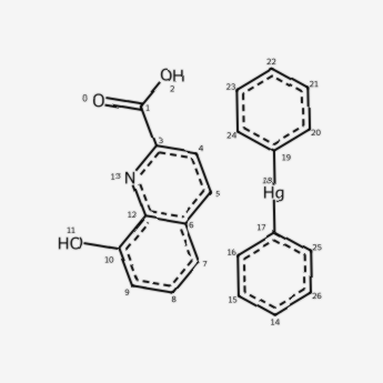 O=C(O)c1ccc2cccc(O)c2n1.c1cc[c]([Hg][c]2ccccc2)cc1